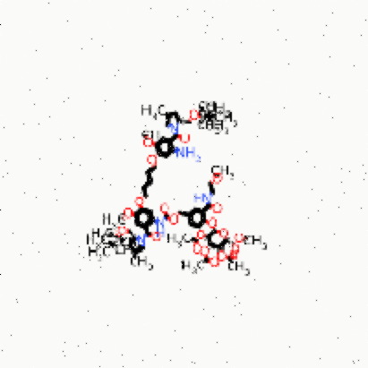 COCCNC(=O)c1cc(COC(=O)Nc2cc(OCCCCCOc3cc(N)c(C(=O)N4C=C(C)C[C@H]4CO[Si](C)(C)C(C)(C)C)cc3OC)c(OC)cc2C(=O)N2C=C(C)C[C@H]2CO[Si](C)(C)C(C)(C)C)ccc1O[C@@H]1O[C@H](C(=O)OC)[C@@H](OC(C)=O)[C@H](OC(C)=O)[C@H]1OC(C)=O